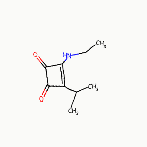 CCNc1c(C(C)C)c(=O)c1=O